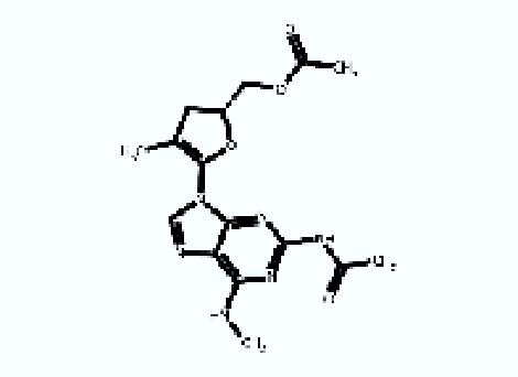 CNc1nc(NC(C)=O)nc2c1ncn2C1=C(C)C[C@@H](COC(C)=O)O1